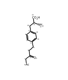 CC(=O)CC(=O)CCc1ccc(CC(N)C(=O)O)cc1